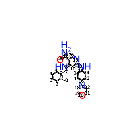 Cc1ccccc1CNc1cc(Nc2ccc(N3CCOCC3)cc2)ncc1C(N)=O